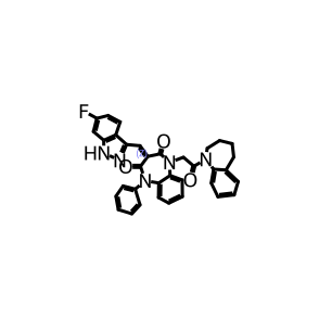 O=C(CN1C(=O)/C(=C/c2n[nH]c3cc(F)ccc23)C(=O)N(c2ccccc2)c2ccccc21)N1CCCCc2ccccc21